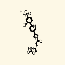 CS(=O)(=O)c1ccc(-c2ccc(C3CN(C(=O)CC[C@@H]4COC(=O)N4)C3)cn2)c(Cl)c1